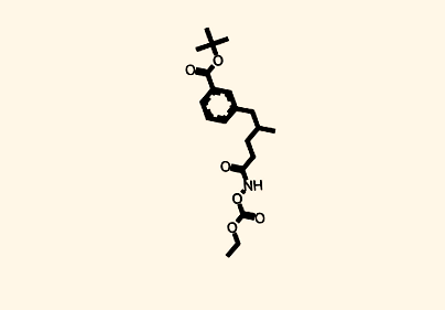 CCOC(=O)ONC(=O)CCC(C)Cc1cccc(C(=O)OC(C)(C)C)c1